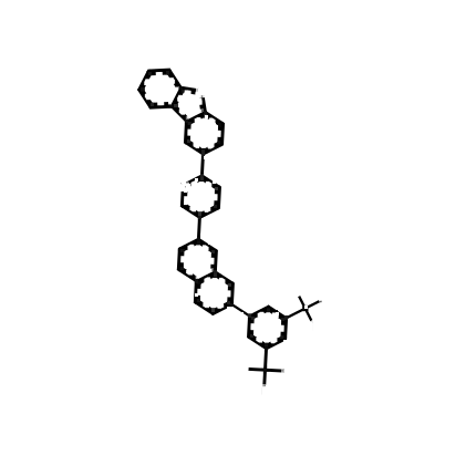 FC(F)(F)c1cc(-c2ccc3ccc(-c4ccc(-c5ccc6oc7ccccc7c6c5)nc4)cc3c2)cc(C(F)(F)F)c1